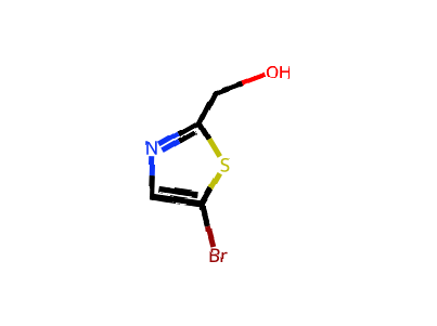 OCc1ncc(Br)s1